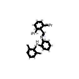 Cc1cccc(C)c1Pc1ccccc1/N=C/c1c(C(C)C)cccc1C(C)C